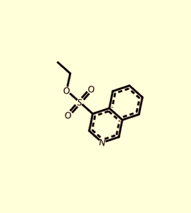 CCOS(=O)(=O)c1cncc2ccccc12